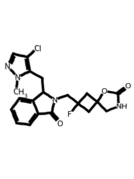 Cn1ncc(Cl)c1CC1c2ccccc2C(=O)N1CC1(F)CC2(CNC(=O)O2)C1